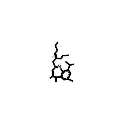 C=C1C(C)=CC(C/C(=C/CCC)CCC)=Nc2c1cc(C)cc2C(C)C